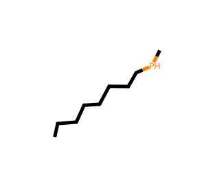 CCCCCCCCPC